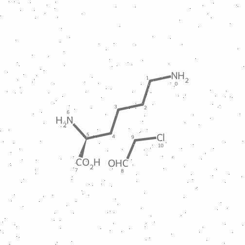 NCCCC[C@H](N)C(=O)O.O=CCCl